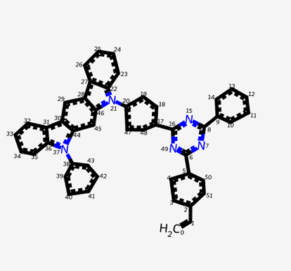 C=Cc1ccc(-c2nc(-c3ccccc3)nc(-c3ccc(-n4c5ccccc5c5cc6c7ccccc7n(-c7ccccc7)c6cc54)cc3)n2)cc1